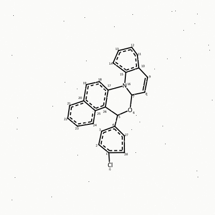 Clc1ccc(C2OC3C=Cc4ccccc4N3c3ccc4ccccc4c32)cc1